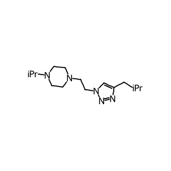 CC(C)Cc1cn(CCN2CCN(C(C)C)CC2)nn1